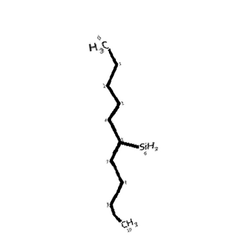 CCCCCC([SiH3])CCCC